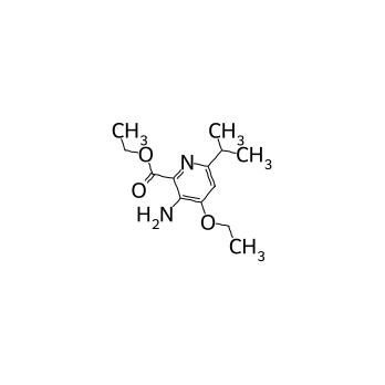 CCOC(=O)c1nc(C(C)C)cc(OCC)c1N